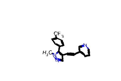 Cn1ncc(C#Cc2cccnc2)c1-c1ccc(C(F)(F)F)cc1